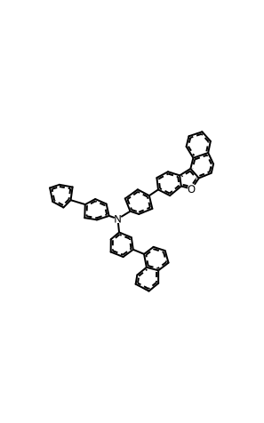 c1ccc(-c2ccc(N(c3ccc(-c4ccc5c(c4)oc4ccc6ccccc6c45)cc3)c3cccc(-c4cccc5ccccc45)c3)cc2)cc1